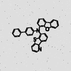 c1ccc(-c2ccc(N(c3cccc4c3oc3ccccc34)c3cccc4c3sc3cccnc34)cc2)cc1